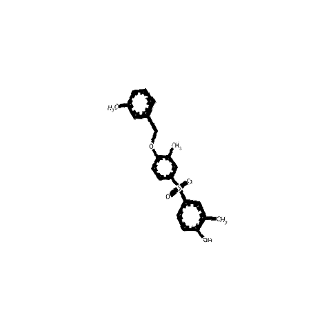 Cc1cccc(COc2ccc(S(=O)(=O)c3ccc(O)c(C)c3)cc2C)c1